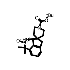 CC(C)(C)OC(=O)N1CCC2(CC1)Cc1cccc3c1[C@H]2N[S+]([O-])C3(C)C